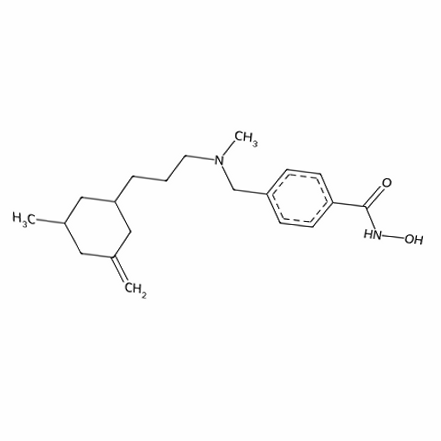 C=C1CC(C)CC(CCCN(C)Cc2ccc(C(=O)NO)cc2)C1